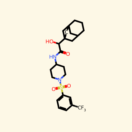 O=C(NC1CCN(S(=O)(=O)c2cccc(C(F)(F)F)c2)CC1)C(O)C12CC3CCCC(C3)(C1)C2